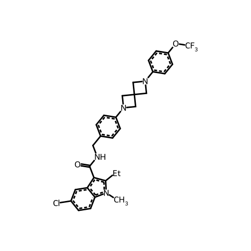 CCc1c(C(=O)NCc2ccc(N3CC4(C3)CN(c3ccc(OC(F)(F)F)cc3)C4)cc2)c2cc(Cl)ccc2n1C